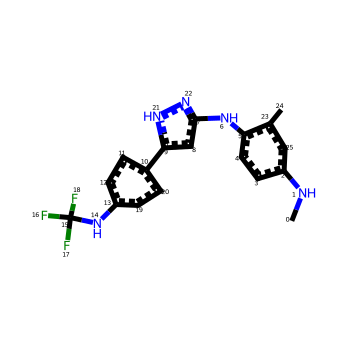 CNc1ccc(Nc2cc(-c3ccc(NC(F)(F)F)cc3)[nH]n2)c(C)c1